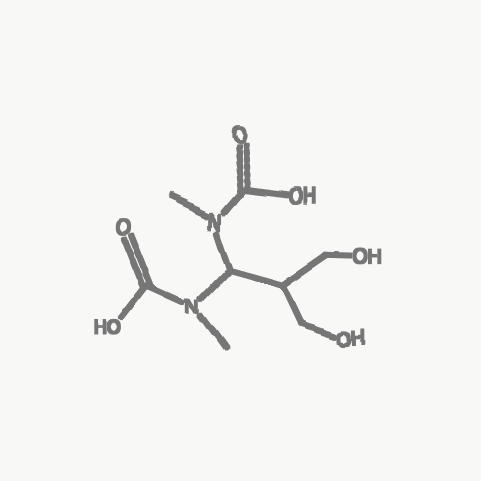 CN(C(=O)O)C(C(CO)CO)N(C)C(=O)O